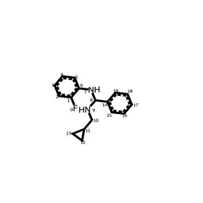 Fc1ccccc1NC(NCC1CC1)c1ccccc1